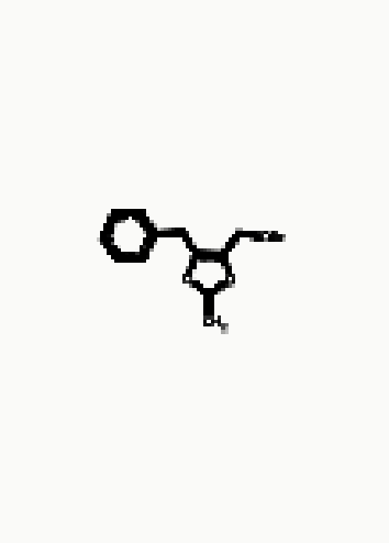 C=C1OC(COC(C)=O)=C(Cc2ccccc2)O1